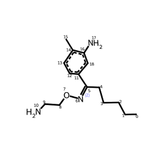 CCCCC/C(=N/OCCN)c1ccc(C)c(N)c1